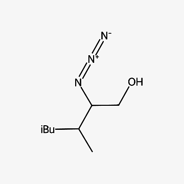 CCC(C)C(C)C(CO)N=[N+]=[N-]